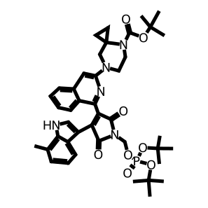 Cc1cccc2c(C3=C(c4nc(N5CCN(C(=O)OC(C)(C)C)C6(CC6)C5)cc5ccccc45)C(=O)N(COP(=O)(OC(C)(C)C)OC(C)(C)C)C3=O)c[nH]c12